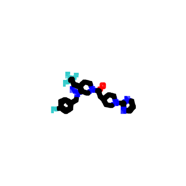 O=C(CC1CCN(c2ncccn2)CC1)N1CCc2c(C(F)(F)F)nn(Cc3ccc(F)cc3)c2C1